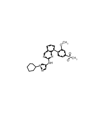 COc1cc(S(C)(=O)=O)ccc1-c1cccc2cnc(Nc3cnn(C4CCCCC4)c3)nc12